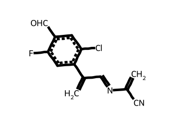 C=C(C#N)/N=C/C(=C)c1cc(F)c(C=O)cc1Cl